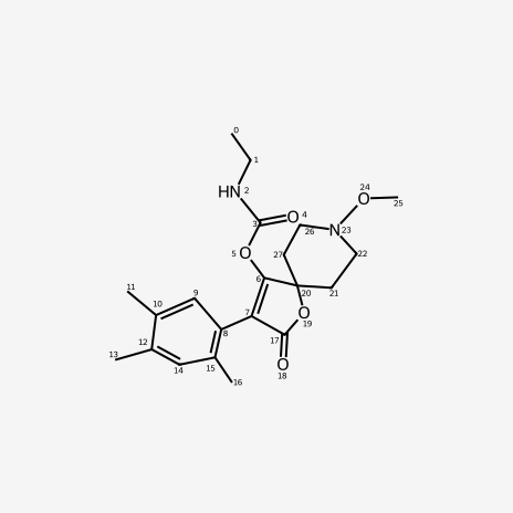 CCNC(=O)OC1=C(c2cc(C)c(C)cc2C)C(=O)OC12CCN(OC)CC2